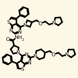 NC(=O)C1CCN(c2nc(N3CCC(COCCN4CCCC4)CC3)nc3scc(-c4ccccc4)c23)C1.c1ccc(-c2csc3ncnc(N4CC(COCCN5CCCC5)C4)c23)cc1